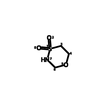 O=S1(=O)CCOCN1